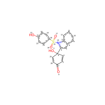 O=C1C=CC(O)(c2cc3ccccc3n2S(=O)(=O)c2ccc(O)cc2)C=C1